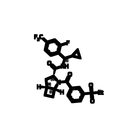 CCS(=O)(=O)c1cccc(C(=O)N2[C@@H](C(=O)N[C@@H](c3ccc(C(F)(F)F)cc3F)C3CC3)C[C@H]3CC[C@H]32)c1